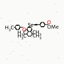 COC(=O)c1ccc(C#C[Se]c2cc(OCc3ccc(C)cc3)c3c(c2)C(C)(C)CCC3(C)C)cc1